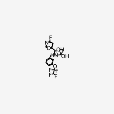 O=C(O)N[C@H](Cc1cccc(OC(F)(F)C(F)F)c1)[C@H](O)c1ccnc(F)c1